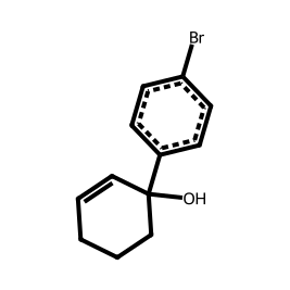 OC1(c2ccc(Br)cc2)C=CCCC1